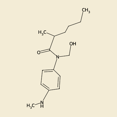 CCCCC(C)C(=O)N(CO)c1ccc(NC)cc1